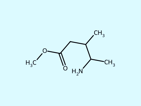 COC(=O)CC(C)C(C)N